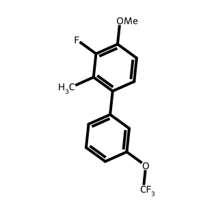 COc1ccc(-c2cccc(OC(F)(F)F)c2)c(C)c1F